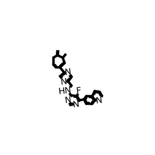 C=C1CC=CC(c2cnc(CNc3ncnc(-c4ccc5ncccc5c4)c3F)cn2)=CC1C